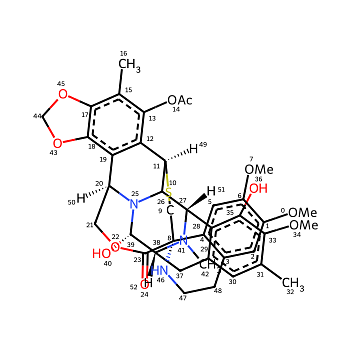 COc1cc2c(cc1OC)[C@@]1(CS[C@@H]3c4c(OC(C)=O)c(C)c5c(c4[C@H](COC1=O)N1C3[C@@H]3c4c(cc(C)c(OC)c4O)C[C@H]([C@@H]1O)N3C)OCO5)NCC2